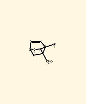 CC(C)C12C=CC(CC1)CC2C=O